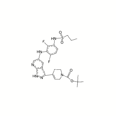 CCCS(=O)(=O)Nc1ccc(F)c(Nc2cnc3[nH]nc(C4=CCN(C(=O)OC(C)(C)C)CC4)c3c2)c1F